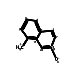 Cc1cccc2cc[n+]([O-])cc12